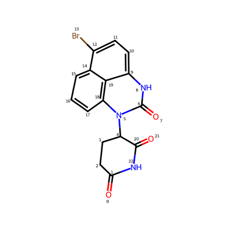 O=C1CCC(N2C(=O)Nc3ccc(Br)c4cccc2c34)C(=O)N1